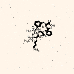 CS(=O)(=O)Nc1cccc(C[C@H](NC(=O)C2(C[C@@H](CNC(=O)[C@H](CCCCN)NS(C)(=O)=O)C(=O)O)CCCC2)C(=O)O)c1